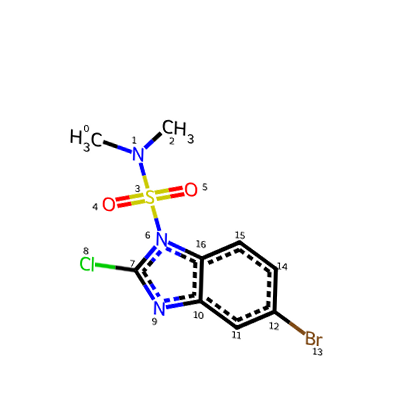 CN(C)S(=O)(=O)n1c(Cl)nc2cc(Br)ccc21